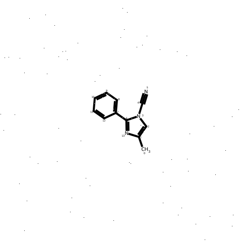 Cc1cn(C#N)c(-c2ccccc2)n1